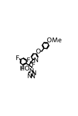 COc1ccc(COc2ccc(C(F)(F)C(O)(Cn3cnnn3)c3ccc(F)cc3F)nc2)cc1